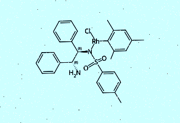 Cc1ccc(S(=O)(=O)[N]([C@H](c2ccccc2)[C@H](N)c2ccccc2)[Rh]([Cl])[c]2c(C)cc(C)cc2C)cc1